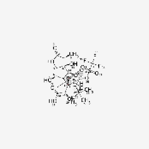 C[C@@H]1C(=O)OC2[C@H](O)C34C5OC(=O)[C@@]3(OC(O)C4([C@@H](O)C(=O)O)[C@H](C(C)(C)C)[C@H]5OS(=O)(=O)C(F)(F)F)[C@]21O